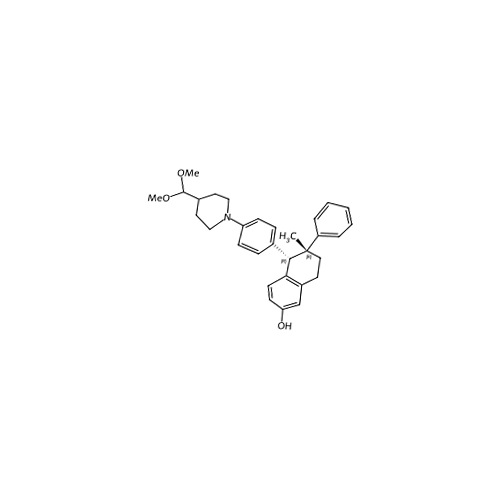 COC(OC)C1CCN(c2ccc([C@H]3c4ccc(O)cc4CC[C@@]3(C)c3ccccc3)cc2)CC1